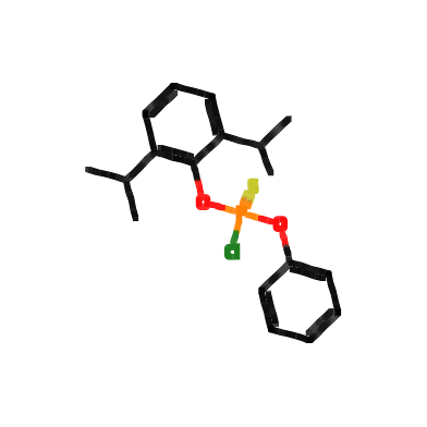 CC(C)c1cccc(C(C)C)c1OP(=S)(Cl)Oc1ccccc1